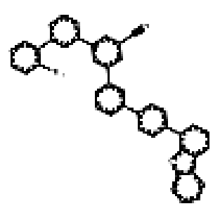 N#Cc1cc(-c2cccc(-c3ccc(-c4cccc5c4sc4ccccc45)cc3)c2)cc(-c2cccc(-c3ccccc3N)c2)c1